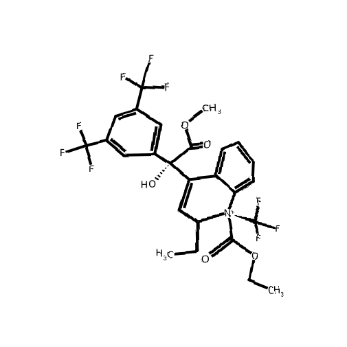 CCOC(=O)[N@@+]1(C(F)(F)F)c2ccccc2C([C@](O)(C(=O)OC)c2cc(C(F)(F)F)cc(C(F)(F)F)c2)=CC1CC